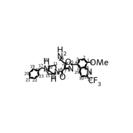 COc1ccc(-c2nc(C(=O)N3C[C@H]4C[C@@H]3CN4Cc3ccccc3)c(CN)o2)c2ccc(C(F)(F)F)nc12